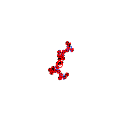 CC1(C)c2ccccc2-c2cc3c4cc(-c5ccc6c(c5)c5ccc7c(c5n6-c5ccccc5)-c5ccccc5C75c6ccccc6-c6c(-c7cccc8oc9c(-c%10ccc(-n%11c%12ccc(-c%13ccc%14c(c%13)c%13ccccc%13n%14-c%13cccc(-c%14ccccc%14)c%13)cc%12c%12cc%13c(cc%12%11)C%11(c%12ccccc%12-c%12ccccc%12%11)c%11ccccc%11-%13)cc%10)cccc9c78)cccc65)ccc4n(-c4ccccc4)c3cc21